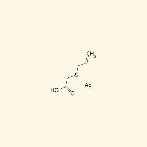 C=CCSCC(=O)O.[Ag]